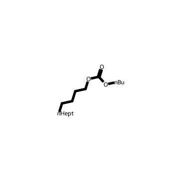 CCCCCCCCCCCOC(=O)OCCCC